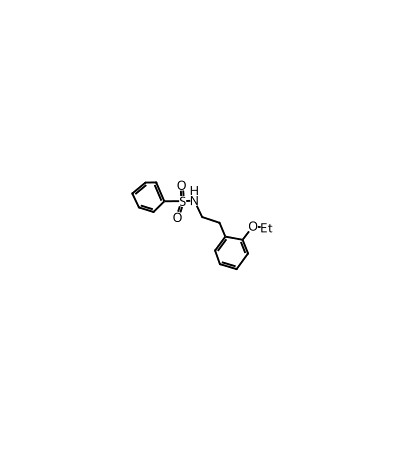 CCOc1ccccc1CCNS(=O)(=O)c1ccccc1